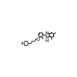 Cc1cc(C)c2[nH]c(-c3cccc(OCCCCC4CCN(C)CC4)c3C)nc2c1